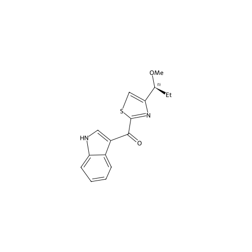 CC[C@H](OC)c1csc(C(=O)c2c[nH]c3ccccc23)n1